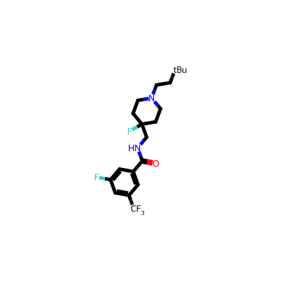 CC(C)(C)CCN1CCC(F)(CNC(=O)c2cc(F)cc(C(F)(F)F)c2)CC1